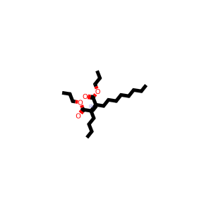 CCCCCCCC/C(C(=O)OCCC)=C(\CCCC)C(=O)OCCC